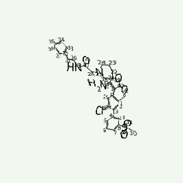 Cc1cc(-c2cccc(S(C)(=O)=O)c2)c(Cl)cc1C1=C(N)C2(CCCN(CC(=O)NCCc3ccccc3)C2)OC1=O